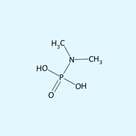 CN(C)P(=O)(O)O